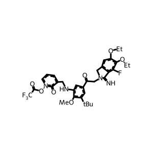 CCOc1cc2c(c(F)c1OCC)C(=N)N(CC(=O)c1cc(NCc3cccn(OC(=O)C(F)(F)F)c3=O)c(OC)c(C(C)(C)C)c1)C2